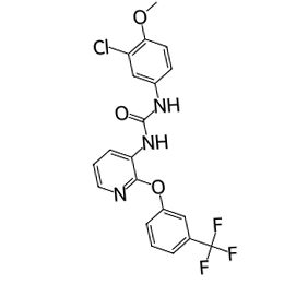 COc1ccc(NC(=O)Nc2cccnc2Oc2cccc(C(F)(F)F)c2)cc1Cl